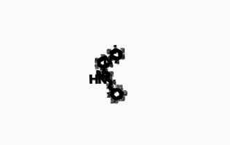 [c]1ccccc1N1C=CCC(c2cc(CCC3CCCCC3)[nH]n2)=C1